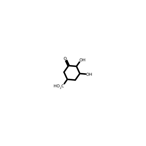 O=C(O)C1CC(=O)C(O)C(O)C1